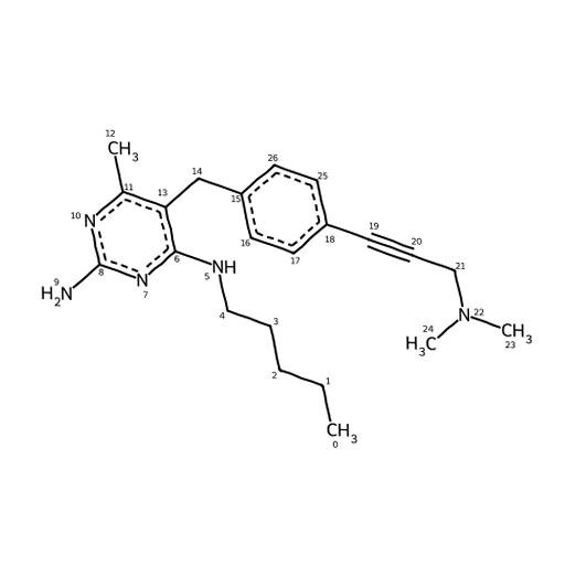 CCCCCNc1nc(N)nc(C)c1Cc1ccc(C#CCN(C)C)cc1